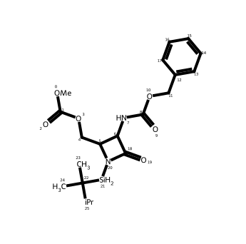 COC(=O)OCC1C(NC(=O)OCc2ccccc2)C(=O)N1[SiH2]C(C)(C)C(C)C